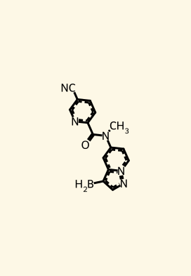 Bc1cnn2ccc(N(C)C(=O)c3ccc(C#N)cn3)cc12